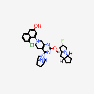 Oc1cc(N2CCc3c(nc(OC[C@@]45C[C@@H](F)CN4[C@@H]4CCC[C@@H]4C5)nc3N3CC4CCC(C3)N4)C2)c2c(Cl)cccc2c1